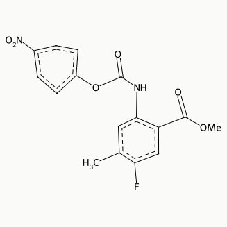 COC(=O)c1cc(F)c(C)cc1NC(=O)Oc1ccc([N+](=O)[O-])cc1